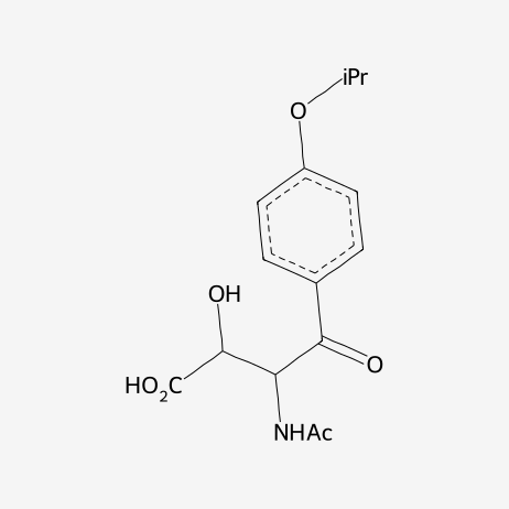 CC(=O)NC(C(=O)c1ccc(OC(C)C)cc1)C(O)C(=O)O